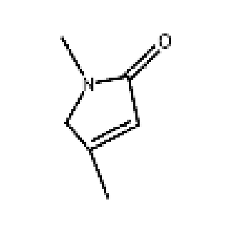 CC1=CC(=O)N(C)C1